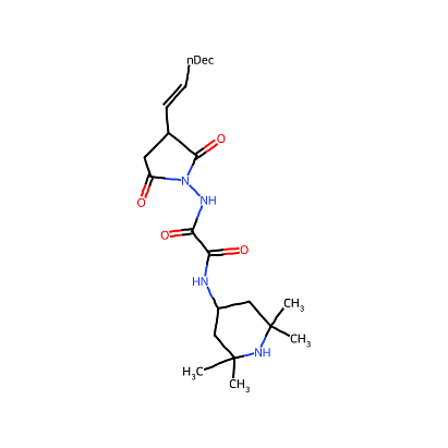 CCCCCCCCCCC=CC1CC(=O)N(NC(=O)C(=O)NC2CC(C)(C)NC(C)(C)C2)C1=O